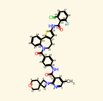 Cc1cnc(N2CC3(CCOCC3)C2)c(C(=O)Nc2ccc(C(=O)N3CCc4cc(NC(=O)c5c(F)cccc5Cl)sc4-c4ccccc43)cc2)c1